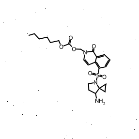 CCCCCCOC(=O)OCn1ccc2c(S(=O)(=O)N3CCC(N)C34CC4)cccc2c1=O